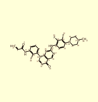 C=CC(=O)Nc1cccc(-n2cnc(=O)c3cnc(Nc4ccc(N5CCN(C)CC5)c(F)c4F)nc32)c1F